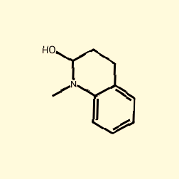 CN1c2ccccc2CCC1O